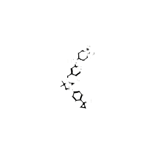 CC1(C)C(=O)N(c2ccc(C3(C(F)(F)F)CC3)cc2)C(=O)N1Cc1ccnc(NC2CCS(=O)(=O)CC2)c1